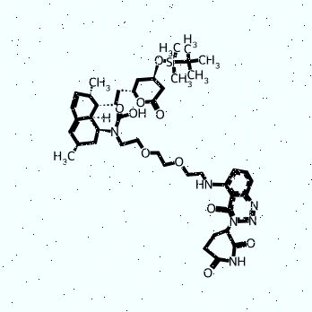 C[C@H]1C=C2C=C[C@H](C)[C@H](CC[C@@H]3C[C@@H](O[Si](C)(C)C(C)(C)C)CC(=O)O3)[C@H]2[C@@H](N(CCOCCOCCNc2cccc3nnn(C4CCC(=O)NC4=O)c(=O)c23)C(=O)O)C1